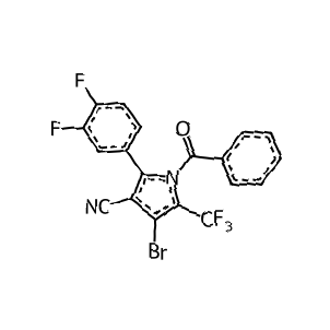 N#Cc1c(Br)c(C(F)(F)F)n(C(=O)c2ccccc2)c1-c1ccc(F)c(F)c1